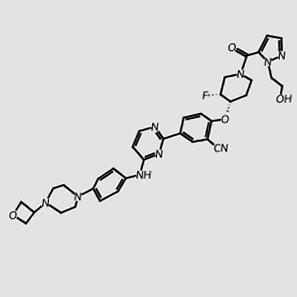 N#Cc1cc(-c2nccc(Nc3ccc(N4CCN(C5COC5)CC4)cc3)n2)ccc1O[C@H]1CCN(C(=O)c2ccnn2CCO)C[C@H]1F